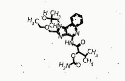 CCOCc1nc2c(NC(=O)C(OC(N)=O)C(C)C)nc3ccccc3c2n1CC(C)(C)O